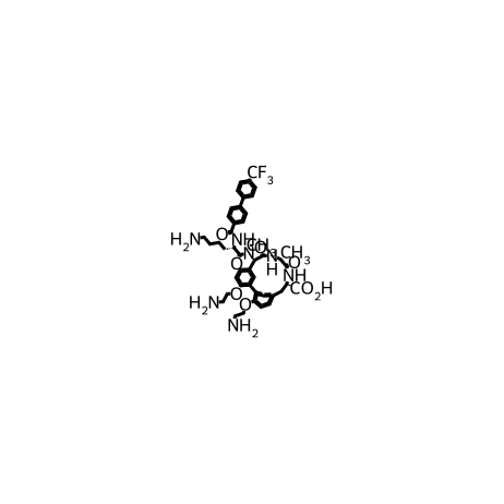 C[C@@H]1NC(=O)[C@@H](N(C)C(=O)[C@H](CCCCN)NC(=O)c2ccc(-c3ccc(C(F)(F)F)cc3)cc2)c2ccc(OCCN)c(c2)-c2cc(ccc2OCCN)C[C@@H](C(=O)O)NC1=O